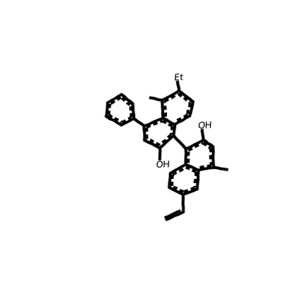 C=Cc1ccc2c(-c3c(O)cc(-c4ccccc4)c4c(C)c(CC)ccc34)c(O)cc(C)c2c1